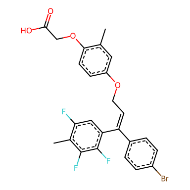 Cc1cc(OCC=C(c2ccc(Br)cc2)c2cc(F)c(C)c(F)c2F)ccc1OCC(=O)O